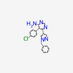 Nc1ncnc(-c2cnn(Cc3ccccc3)c2)c1-c1ccc(Cl)cc1